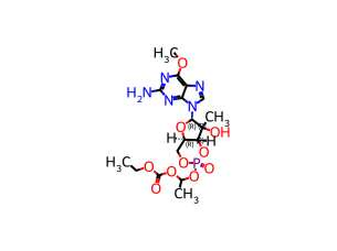 CCOC(=O)OC(C)OP1(=O)OC[C@H]2O[C@@H](n3cnc4c(OC)nc(N)nc43)[C@](C)(O)[C@@H]2O1